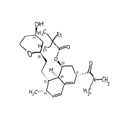 CCC(C)(C)C(=O)O[C@H]1C[C@H](C(=O)N(C)C)C=C2C=C[C@H](C)[C@H](CC[C@@H]3C[C@H](O)CCO3)[C@H]21